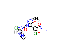 CN1CC2CCC(C1)N2c1cc(NC(=O)Cn2cc(-c3cc(Cl)c(O)c(C(N)=O)c3)c3c(=O)n(C)cnc32)c(Cl)cn1